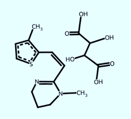 Cc1ccsc1/C=C\C1=NCCCN1C.O=C(O)C(O)C(O)C(=O)O